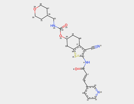 N#Cc1c(NC(=O)C=Cc2cccnc2)sc2c1CCC(OC(=O)NCC1CCOCC1)C2